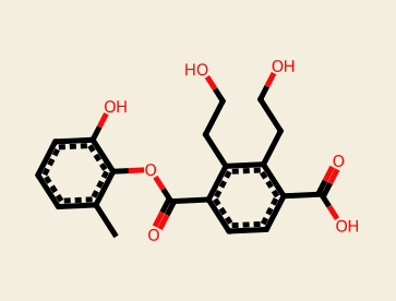 Cc1cccc(O)c1OC(=O)c1ccc(C(=O)O)c(CCO)c1CCO